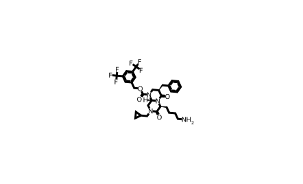 NCCCC[C@H]1C(=O)N(CC2CC2)C[C@@H]2N(C(=O)OCc3cc(C(F)(F)F)cc(C(F)(F)F)c3)C[C@@H](Cc3ccccc3)C(=O)N21